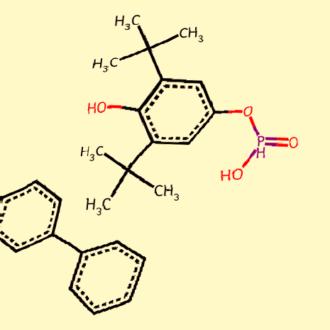 CC(C)(C)c1cc(O[PH](=O)O)cc(C(C)(C)C)c1O.c1ccc(-c2ccccc2)cc1